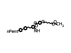 C=CC(=O)OCCCCCCOc1ccc(C(=O)Oc2ccc(CCc3ccc(-c4ccc(CCCCC)cc4)cc3)cc2C=N)cc1